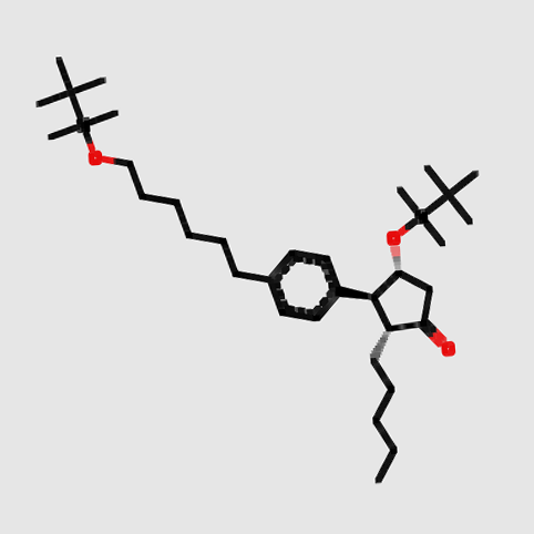 CCCCC[C@H]1C(=O)C[C@@H](O[Si](C)(C)C(C)(C)C)[C@@H]1c1ccc(CCCCCCO[Si](C)(C)C(C)(C)C)cc1